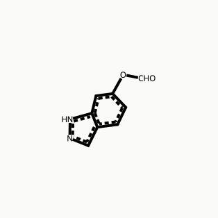 O=COc1ccc2cn[nH]c2c1